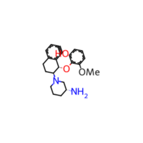 COc1cccc(O)c1O[C@H]1c2c#cccc2CC[C@@H]1N1CCC[C@@H](N)C1